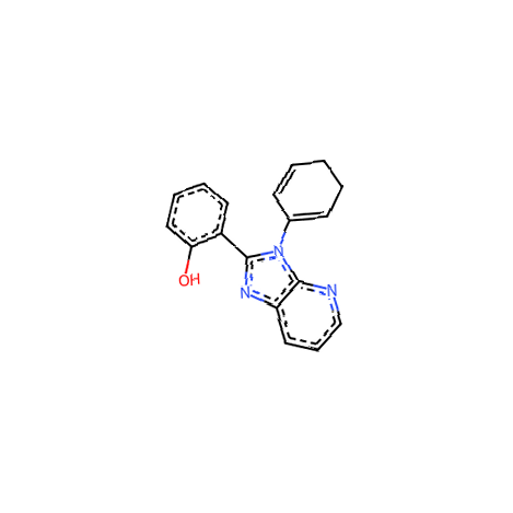 Oc1ccccc1-c1nc2cccnc2n1C1=CCCC=C1